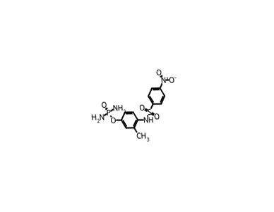 Cc1cc(OP(N)(N)=O)ccc1NS(=O)(=O)c1ccc([N+](=O)[O-])cc1